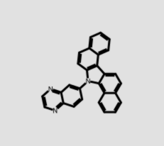 c1ccc2c(c1)ccc1c2c2ccc3ccccc3c2n1-c1ccc2nccnc2c1